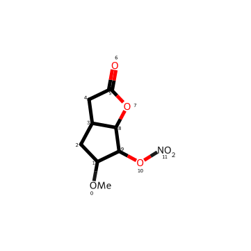 COC1CC2CC(=O)OC2C1O[N+](=O)[O-]